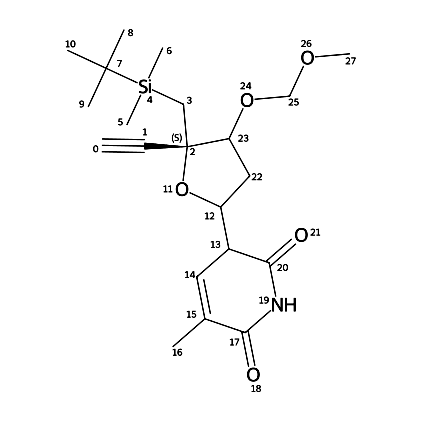 C#C[C@]1(C[Si](C)(C)C(C)(C)C)OC(C2C=C(C)C(=O)NC2=O)CC1OCOC